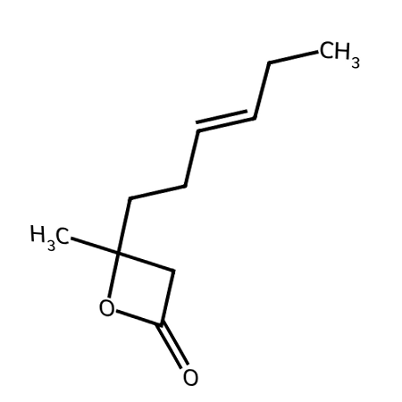 CCC=CCCC1(C)CC(=O)O1